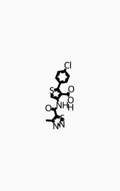 Cc1nnsc1C(=O)Nc1csc(-c2ccc(Cl)cc2)c1C(=O)O